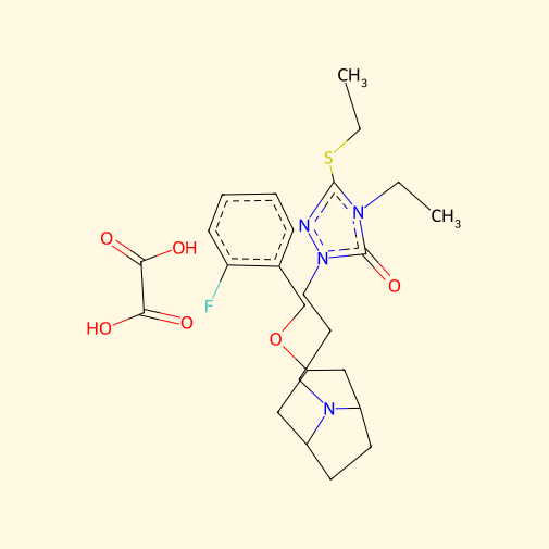 CCSc1nn(CCCN2C3CCC2CC(OCc2ccccc2F)C3)c(=O)n1CC.O=C(O)C(=O)O